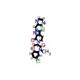 CN1C(=O)[C@@H](N2CCc3c(nn(Cc4cnccn4)c3Cl)C2=O)COc2ccc(Cl)cc21